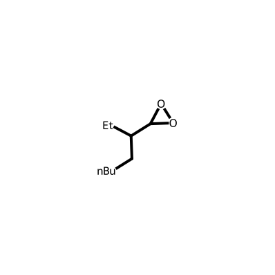 CCCCCC(CC)C1OO1